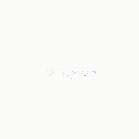 CCSc1ccc(CC(=O)Nc2cc(F)c(C3(c4noc(-c5ccc(C#N)cc5)n4)CC3)c(F)c2)cc1